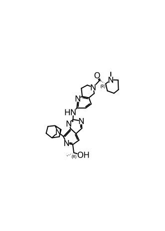 C[C@@H](O)c1cc2cnc(Nc3ccc4c(n3)CCN(C(=O)[C@H]3CCCCN3C)C4)nc2c(N2C3CCC2CC3)n1